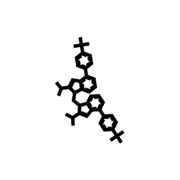 CC(C)C1=Cc2c(-c3ccc(C(C)(C)C)cc3)cccc2C1CC1C(C(C)C)=Cc2c(-c3ccc(C(C)(C)C)cc3)cccc21